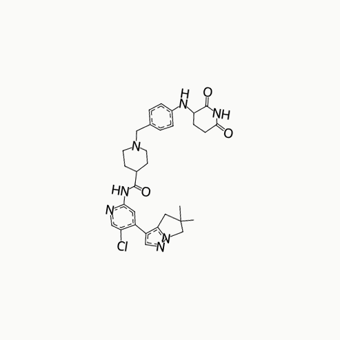 CC1(C)Cc2c(-c3cc(NC(=O)C4CCN(Cc5ccc(NC6CCC(=O)NC6=O)cc5)CC4)ncc3Cl)cnn2C1